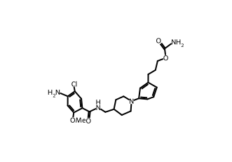 COc1cc(N)c(Cl)cc1C(=O)NCC1CCN(c2cccc(CCCOC(N)=O)c2)CC1